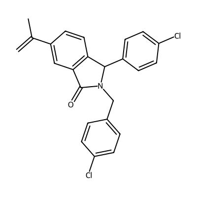 C=C(C)c1ccc2c(c1)C(=O)N(Cc1ccc(Cl)cc1)C2c1ccc(Cl)cc1